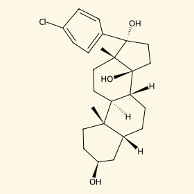 C[C@]12CC[C@H](O)C[C@H]1CC[C@@H]1[C@@H]2CC[C@]2(C)[C@@](O)(c3ccc(Cl)cc3)CC[C@]12O